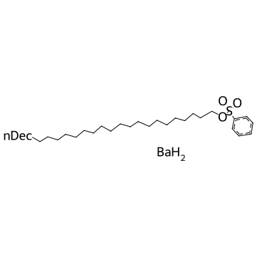 CCCCCCCCCCCCCCCCCCCCCCCCCCCCCCOS(=O)(=O)c1ccccc1.[BaH2]